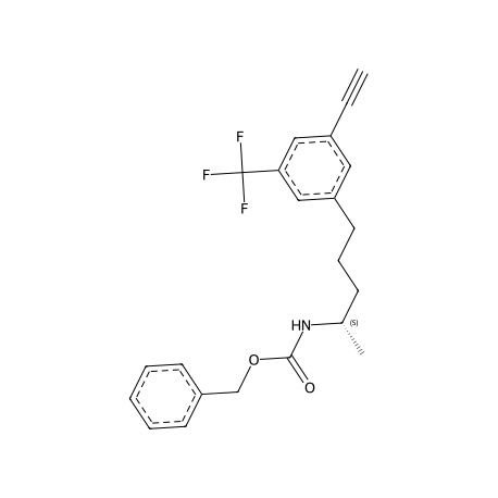 C#Cc1cc(CCC[C@H](C)NC(=O)OCc2ccccc2)cc(C(F)(F)F)c1